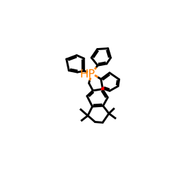 CC1(C)CCC(C)(C)c2cc(C[PH](c3ccccc3)(c3ccccc3)c3ccccc3)ccc21